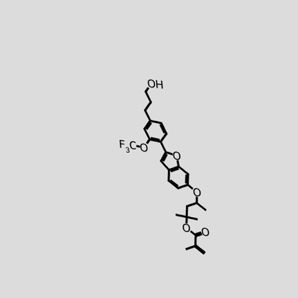 C=C(C)C(=O)OC(C)(C)CC(C)Oc1ccc2cc(-c3ccc(CCCO)cc3OC(F)(F)F)oc2c1